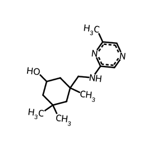 Cc1cncc(NCC2(C)CC(O)CC(C)(C)C2)n1